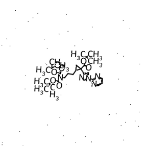 CC(C)(C)OC(=O)N(CCCC1CC1(C(=O)OC(C)(C)C)c1cn(-c2ncccn2)cn1)C(=O)OC(C)(C)C